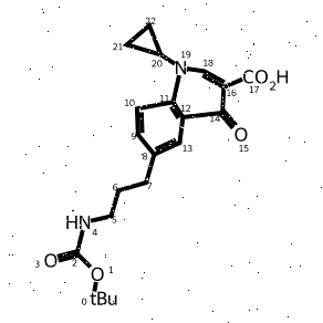 CC(C)(C)OC(=O)NCCCc1ccc2c(c1)c(=O)c(C(=O)O)cn2C1CC1